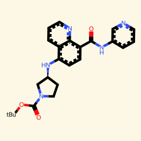 CC(C)(C)OC(=O)N1CC[C@H](Nc2ccc(C(=O)Nc3cccnc3)c3ncccc23)C1